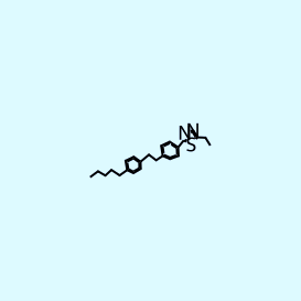 CCCCCc1ccc(CCc2ccc(-c3nnc(CC)s3)cc2)cc1